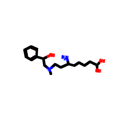 CN(CCC(N)CCCCB(O)O)CC(O)c1ccccc1